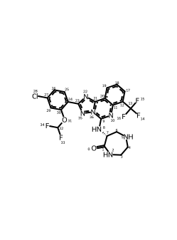 O=C1NCCNC[C@H]1Nc1nc2c(C(F)(F)F)cccc2c2nc(-c3ccc(Cl)cc3OC(F)F)nn12